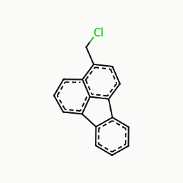 ClCc1ccc2c3c(cccc13)-c1ccccc1-2